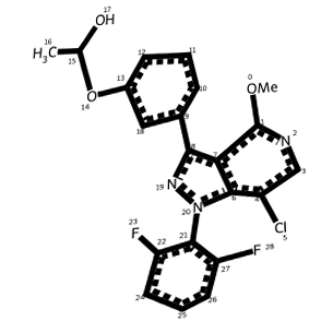 COc1ncc(Cl)c2c1c(-c1cccc(OC(C)O)c1)nn2-c1c(F)cccc1F